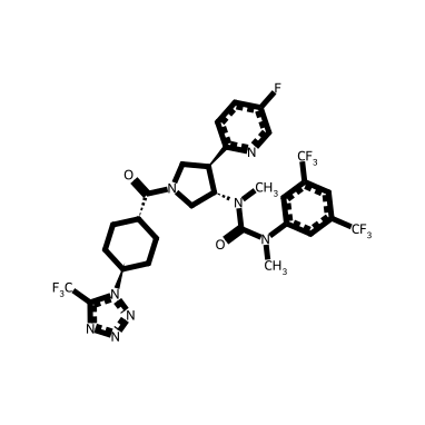 CN(C(=O)N(C)[C@@H]1CN(C(=O)[C@H]2CC[C@H](n3nnnc3C(F)(F)F)CC2)C[C@H]1c1ccc(F)cn1)c1cc(C(F)(F)F)cc(C(F)(F)F)c1